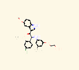 COc1cc(NC(C(=O)c2c[nH]c3ccc(OC(F)(F)F)cc23)c2ccc(Cl)cc2OC)cc(OCCO)c1